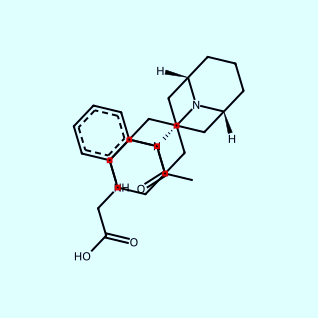 CC(=O)N(c1ccccc1NCC(=O)O)[C@H]1C[C@H]2CCC[C@@H](C1)N2C1CC2CCCC(C2)C1